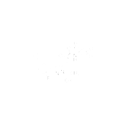 CC(C)n1nc(-c2cc(C3CC3)ccc2F)c2c1C[C@H](C(=O)NC1(C)CS(=O)(=O)C1)OC2